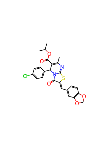 CC1=C(C(=O)OC(C)C)C(c2ccc(Cl)cc2)n2c(s/c(=C\c3ccc4c(c3)OCO4)c2=O)=N1